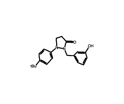 CC(C)(C)c1ccc(N2CCC(=O)N2Cc2cccc(O)c2)cc1